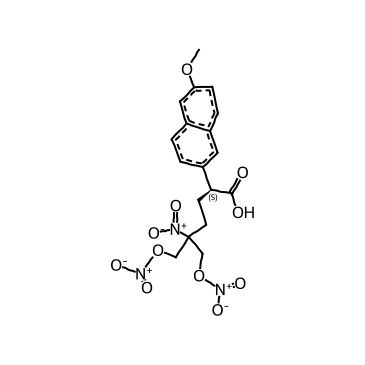 COc1ccc2cc([C@H](CCC(CO[N+](=O)[O-])(CO[N+](=O)[O-])[N+](=O)[O-])C(=O)O)ccc2c1